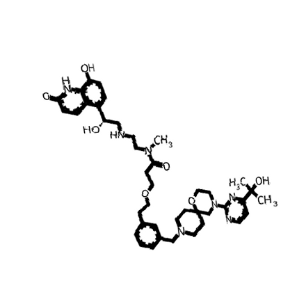 CN(CCNC[C@H](O)c1ccc(O)c2[nH]c(=O)ccc12)C(=O)CCOCCc1cccc(CN2CCC3(CC2)CN(c2nccc(C(C)(C)O)n2)CCO3)c1